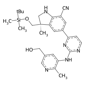 Cc1ncc(CO)cc1Nc1nccc(-c2cc(C#N)c3c(c2)[C@@](C)(CO[Si](C)(C)C(C)(C)C)CN3)n1